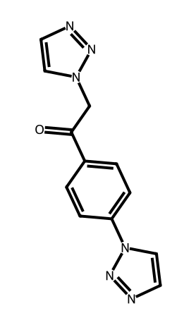 O=C(Cn1ccnn1)c1ccc(-n2ccnn2)cc1